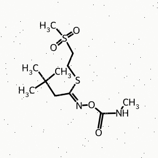 CNC(=O)ON=C(CC(C)(C)C)SCCS(C)(=O)=O